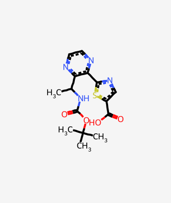 CC(NC(=O)OC(C)(C)C)c1nccnc1-c1ncc(C(=O)O)s1